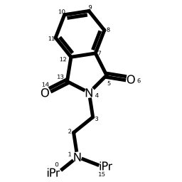 CC(C)N(CCN1C(=O)c2ccccc2C1=O)C(C)C